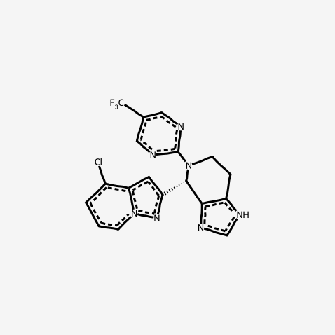 FC(F)(F)c1cnc(N2CCc3[nH]cnc3[C@@H]2c2cc3c(Cl)cccn3n2)nc1